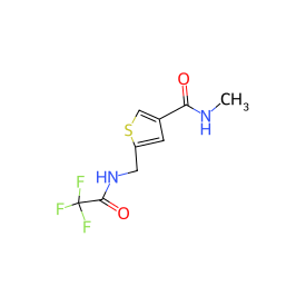 CNC(=O)c1csc(CNC(=O)C(F)(F)F)c1